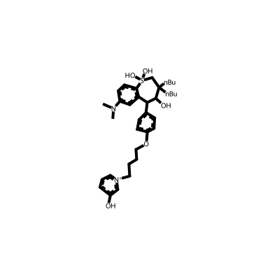 CCCCC1(CCCC)CS(O)(O)c2ccc(N(C)C)cc2C(c2ccc(OCCCC[n+]3cccc(O)c3)cc2)C1O